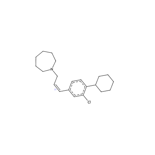 Clc1cc(/C=C\CN2CCCCCC2)ccc1C1CCCCC1